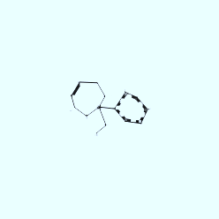 OCC1(c2ccccc2)CCC=CCC1